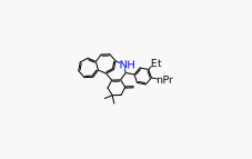 C=C1CC(C)(C)CC2=C1C(c1ccc(CCC)c(CC)c1)NC1=C=C2C2=C=CC=CC=C2C=C1